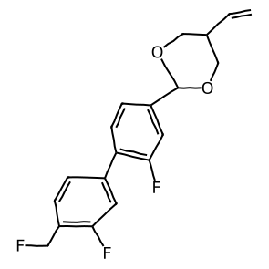 C=CC1COC(c2ccc(-c3ccc(CF)c(F)c3)c(F)c2)OC1